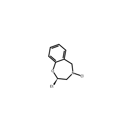 CC[C@@H]1CN(Cl)Cc2ccccc2O1